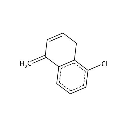 C=C1C=CCc2c(Cl)cccc21